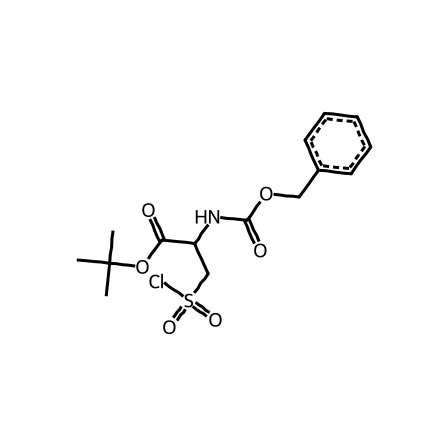 CC(C)(C)OC(=O)C(CS(=O)(=O)Cl)NC(=O)OCc1ccccc1